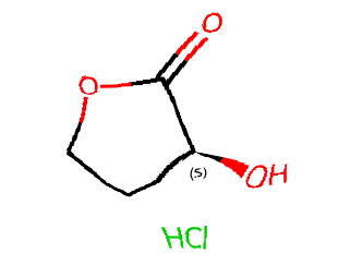 Cl.O=C1OCC[C@@H]1O